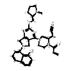 C=CC(=O)N1CCN(c2nc(OCC3CCCN3C)nc3c2CN(c2cccc4cccc(Cl)c24)C3)CC1CC#N